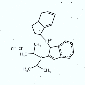 CC(C)P(C1=Cc2ccccc2[CH]1[Hf+2][CH]1CCC2CC=CC=C21)C(C)C.[Cl-].[Cl-]